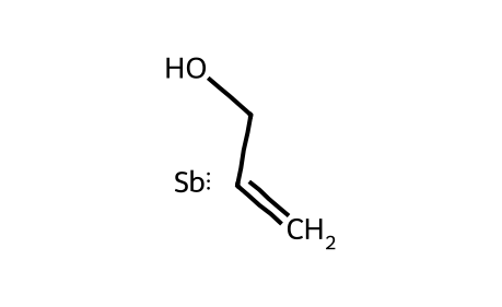 C=CCO.[Sb]